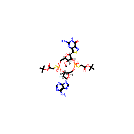 CO[C@H]1[C@H]2OP(=O)(SCC(=O)OC(C)(C)C)OC[C@H]3O[C@@H](n4cnc5c(N)ncnc54)[C@H](F)[C@@H]3OP(=O)(SCC(=O)OC(C)(C)C)OC[C@H]1O[C@H]2c1snc2c(=O)[nH]c(N)nc12